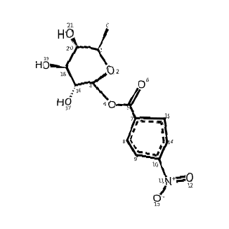 C[C@H]1OC(OC(=O)c2ccc([N+](=O)[O-])cc2)[C@H](O)[C@@H](O)[C@H]1O